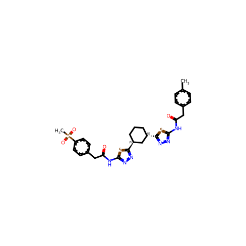 Cc1ccc(CC(=O)Nc2nnc([C@H]3CCC[C@H](c4nnc(NC(=O)Cc5ccc(S(C)(=O)=O)cc5)s4)C3)s2)cc1